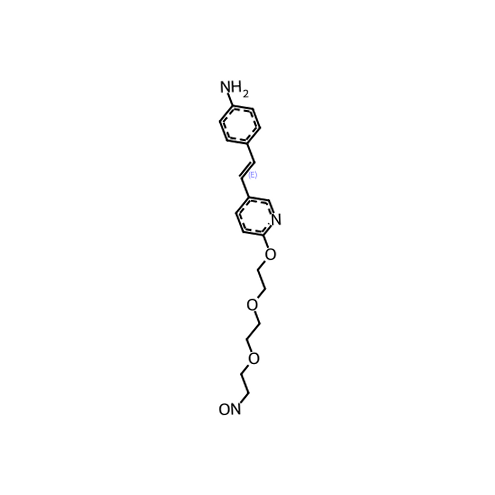 Nc1ccc(/C=C/c2ccc(OCCOCCOCCN=O)nc2)cc1